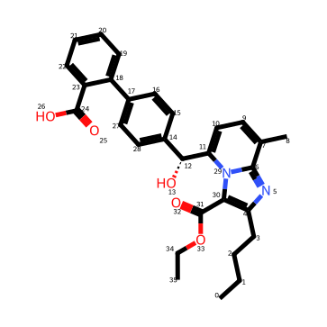 CCCCc1nc2c(C)ccc([C@H](O)c3ccc(-c4ccccc4C(=O)O)cc3)n2c1C(=O)OCC